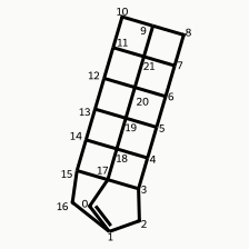 C1=C2CC3C4C5C6C7CC8CC9C%10C%11C%12C(C2)C13C4%12C5%11C6%10C879